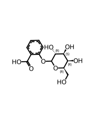 O=C(O)c1ccccc1OC1O[C@H](CO)[C@H](O)[C@H](O)[C@H]1O